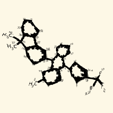 Cc1ccc2c(-c3ccc(C(F)(F)F)cc3)c3ccccc3c(-c3ccc4c(c3)-c3ccccc3C4(C)C)c2c1